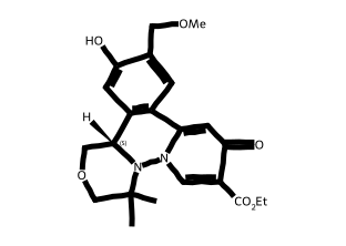 CCOC(=O)c1cn2c(cc1=O)-c1cc(COC)c(O)cc1[C@H]1COCC(C)(C)N12